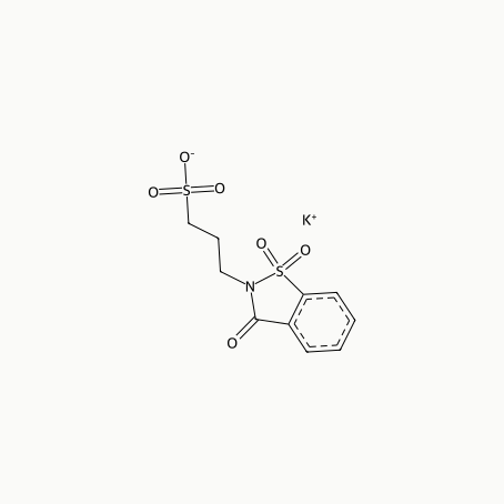 O=C1c2ccccc2S(=O)(=O)N1CCCS(=O)(=O)[O-].[K+]